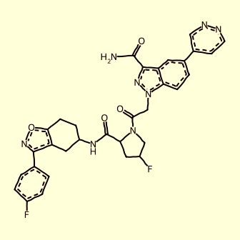 NC(=O)c1nn(CC(=O)N2CC(F)CC2C(=O)NC2CCc3onc(-c4ccc(F)cc4)c3C2)c2ccc(-c3ccnnc3)cc12